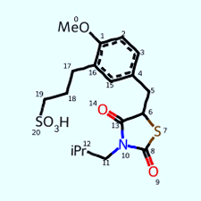 COc1ccc(CC2SC(=O)N(CC(C)C)C2=O)cc1CCCS(=O)(=O)O